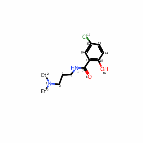 CCN(CC)CCCNC(=O)c1cc(Cl)ccc1O